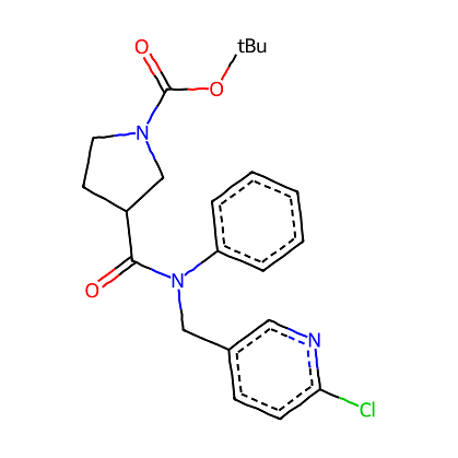 CC(C)(C)OC(=O)N1CCC(C(=O)N(Cc2ccc(Cl)nc2)c2ccccc2)C1